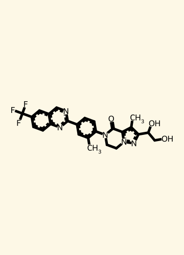 Cc1cc(-c2ncc3cc(C(F)(F)F)ccc3n2)ccc1N1CCn2nc(C(O)CO)c(C)c2C1=O